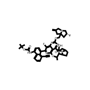 C#Cc1cccc2c(NC(=O)OC(C)(C)C)ccc(-c3nc4c5c(nc(OCC67CC(=C)CN6C[C@H](F)C7)nc5c3F)N3CC5CCC(C3C(C)O4)N5C(=O)O)c12